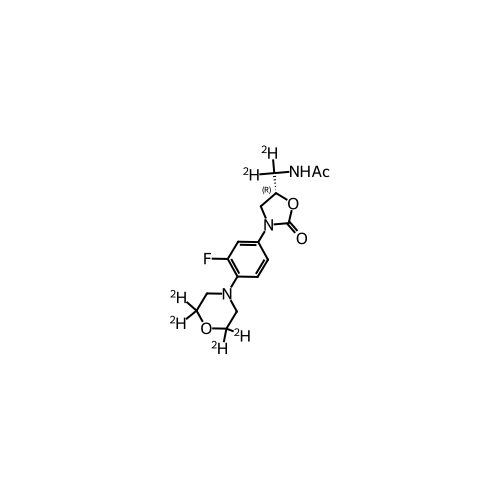 [2H]C1([2H])CN(c2ccc(N3C[C@H](C([2H])([2H])NC(C)=O)OC3=O)cc2F)CC([2H])([2H])O1